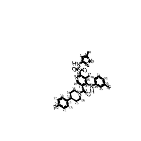 Cc1cc(NS(=O)(=O)c2ncc(C(=O)N3CCC(c4ccc(F)cc4)CC3)c(Nc3cccc(F)c3)c2C)sn1